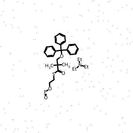 CC(C)(COC(c1ccccc1)(c1ccccc1)c1ccccc1)C(=O)SCCOP=O.CCN(CC)CC